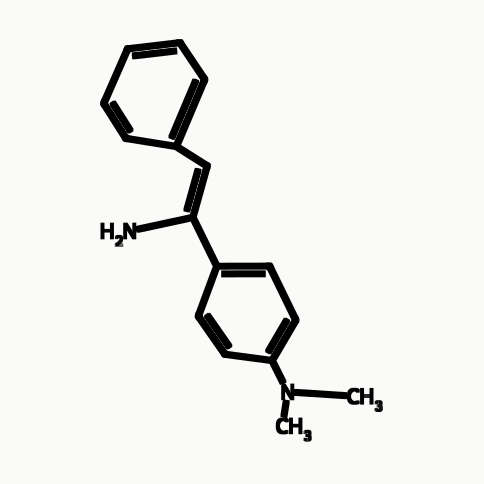 CN(C)c1ccc(C(N)=Cc2ccccc2)cc1